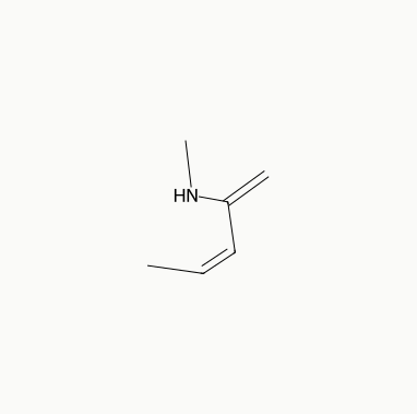 C=C(/C=C\C)NC